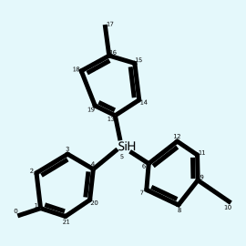 Cc1ccc([SiH](c2ccc(C)cc2)c2ccc(C)cc2)cc1